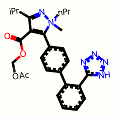 CCC[N+]1(C)N=C(C(C)C)C(C(=O)OCOC(C)=O)=C1c1ccc(-c2ccccc2-c2nnn[nH]2)cc1